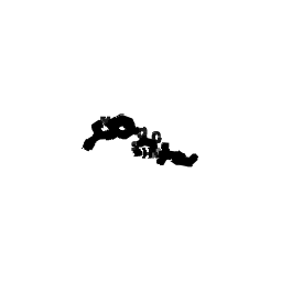 C#Cc1cnc2ccc(OC(SC)C(=O)NC(C)(C)C#CCC)cc2c1